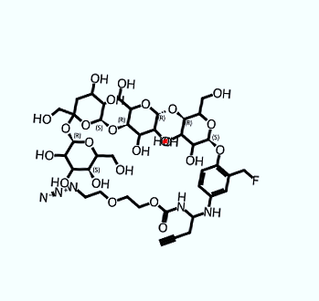 C#CCC(NC(=O)OCCOCCN=[N+]=[N-])Nc1ccc(O[C@@H]2OC(CO)[C@H](O[C@H]3OC(CO)[C@H](O[C@H]4OC(CO)(O[C@H]5OC(CO)[C@@H](O)C(O)C5O)CC(O)C4O)C(O)C3O)C(O)C2O)c(CF)c1